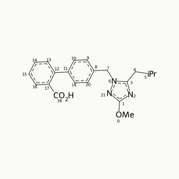 COc1nc(CC(C)C)n(Cc2ccc(-c3ccccc3C(=O)O)cc2)n1